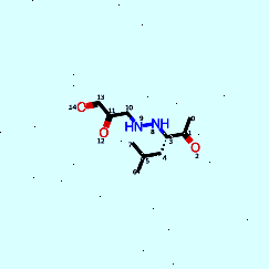 CC(=O)[C@H](CC(C)C)NNCC(=O)C=O